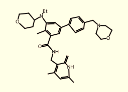 C=C1NC(C)=CC(C)=C1CNC(=O)c1cc(-c2ccc(CN3CCOCC3)cc2)cc(N(CC)C2CCOCC2)c1C